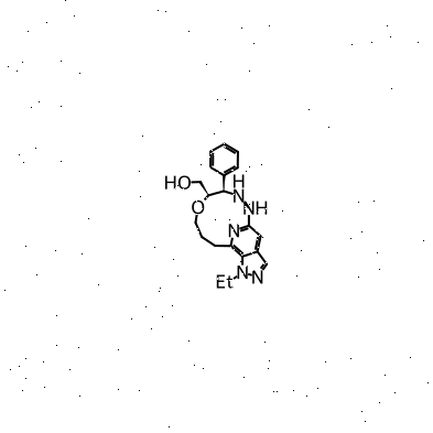 CCn1ncc2cc3nc(c21)CCCO[C@@H](CO)[C@@H](c1ccccc1)NN3